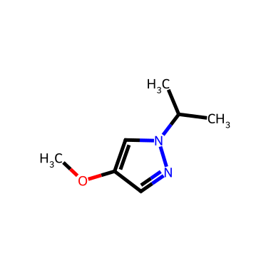 COc1cnn(C(C)C)c1